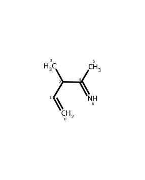 C=CC(C)C(C)=N